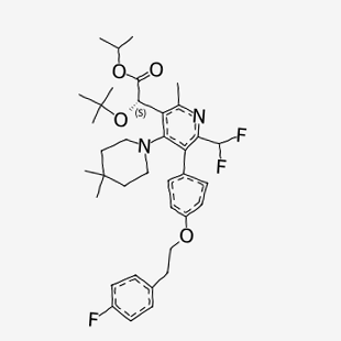 Cc1nc(C(F)F)c(-c2ccc(OCCc3ccc(F)cc3)cc2)c(N2CCC(C)(C)CC2)c1[C@H](OC(C)(C)C)C(=O)OC(C)C